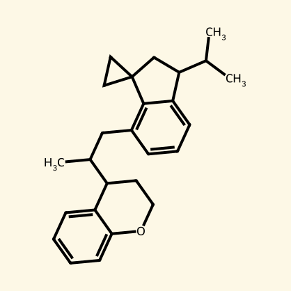 CC(C)C1CC2(CC2)c2c(CC(C)C3CCOc4ccccc43)cccc21